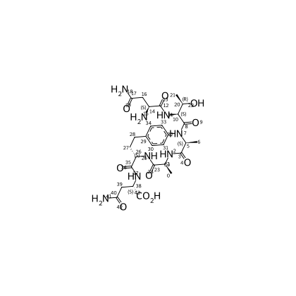 C[C@H](NC(=O)[C@H](C)NC(=O)[C@@H](NC(=O)[C@@H](N)CC(N)=O)[C@@H](C)O)C(=O)N[C@@H](CCc1ccccc1)C(=O)N[C@@H](CC(N)=O)C(=O)O